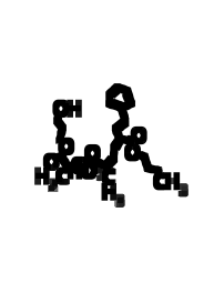 C=C(C)C(=O)OCCCO.CCCCOC(=O)C(C=Cc1ccccc1)=CC=C(C)C(=O)O